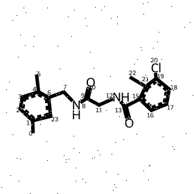 Cc1ccc(C)c(CNC(=O)CNC(=O)c2cccc(Cl)c2C)c1